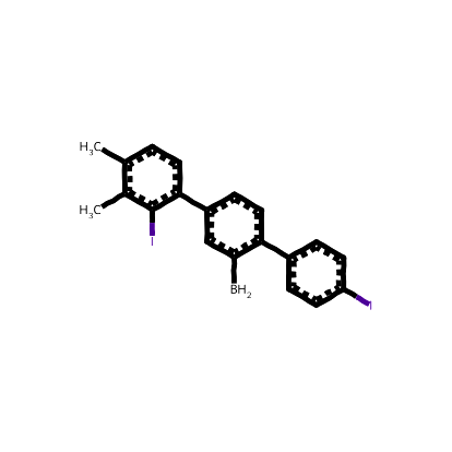 Bc1cc(-c2ccc(C)c(C)c2I)ccc1-c1ccc(I)cc1